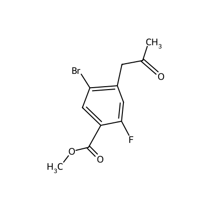 COC(=O)c1cc(Br)c(CC(C)=O)cc1F